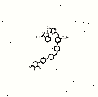 COc1cc(N2CCN(CC3CCN(c4ccc(N5CCC(=O)NC5=O)cc4)CC3)CC2)ccc1Nc1ncc(Cl)c(Nc2ccccc2P(C)C)n1